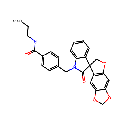 COCCNC(=O)c1ccc(CN2C(=O)C3(COc4cc5c(cc43)OCO5)c3ccccc32)cc1